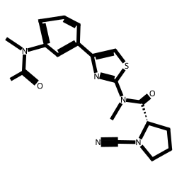 CC(=O)N(C)c1cccc(-c2csc(N(C)C(=O)[C@@H]3CCCN3C#N)n2)c1